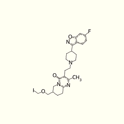 Cc1nc2n(c(=O)c1CCN1CCC(c3noc4cc(F)ccc34)CC1)CC(COCI)CC2